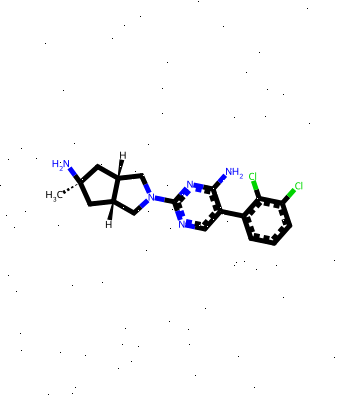 C[C@@]1(N)C[C@H]2CN(c3ncc(-c4cccc(Cl)c4Cl)c(N)n3)C[C@H]2C1